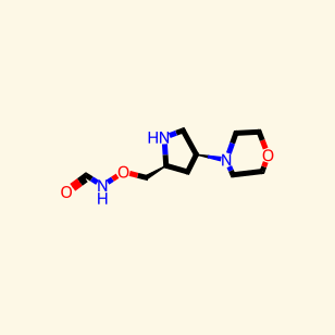 O=CNOC[C@@H]1C[C@H](N2CCOCC2)CN1